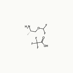 C[C@H](N)COC(F)F.O=C(O)C(F)(F)F